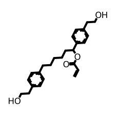 C=CC(=O)OC(CCCCCc1ccc(CCO)cc1)c1ccc(CCO)cc1